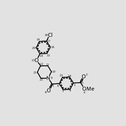 COC(=O)c1ccc(C(=O)N2CCC(Oc3ccc(Cl)cc3)CC2)cc1